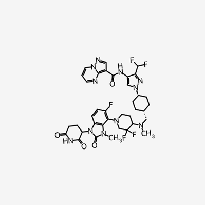 CN(C[C@H]1CC[C@H](n2cc(NC(=O)c3cnn4cccnc34)c(C(F)F)n2)CC1)C1CCN(c2c(F)ccc3c2n(C)c(=O)n3C2CCC(=O)NC2=O)CC1(F)F